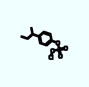 CCC(C)c1ccc(OS(=O)(=O)OCl)cc1